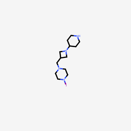 IN1CCN(CC2CN(C3CCNCC3)C2)CC1